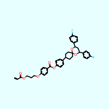 C=CC(=O)OCCCOc1ccc(C(=O)Oc2ccc(C3CCC4(CC3)OC(c3ccc(F)cc3)CC(c3ccc(F)cc3)O4)cc2)cc1